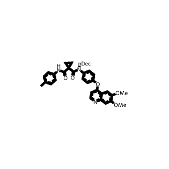 CCCCCCCCCCN(C(=O)C1(C(=O)Nc2ccc(C)cc2)CC1)c1ccc(Oc2ccnc3cc(OC)c(OC)cc23)cc1